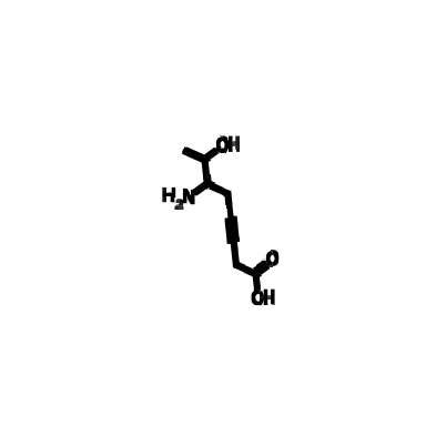 CC(O)C(N)CC#CCC(=O)O